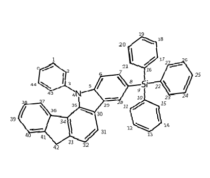 c1ccc(-n2c3ccc([Si](c4ccccc4)(c4ccccc4)c4ccccc4)cc3c3ccc4c(c32)-c2ccccc2C4)cc1